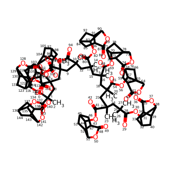 CCC(C)(CC(C)(CC(C)(CC(C)(CC(C)(CC(C)(CC(C)(CC(C)(CC(C)(C)C(=O)OC1C2CC3C(=O)OC1C3C2)C(=O)OC1C2CC3C(=O)OC1C3C2)C(=O)OC1C2CC3C(=O)OC1C3C2)C(=O)OC1C2CC3C(=O)OC1C3C2)C(=O)OC1C2CC3C(=O)OC1C3C2)C(=O)OC1C2CC3C(=O)OC1C3C2)C(=O)OC1C2CC3C(=O)OC1C3C2)C(=O)OC1C2CC3C(=O)OC1C3C2)C(=O)OC1C2CC3C(=O)OC1C3C2